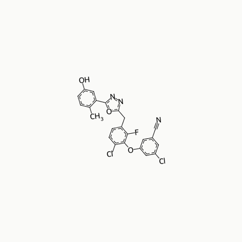 Cc1ccc(O)cc1-c1nnc(Cc2ccc(Cl)c(Oc3cc(Cl)cc(C#N)c3)c2F)o1